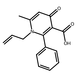 C=CCn1c(C)cc(=O)c(C(=O)O)c1-c1ccccc1